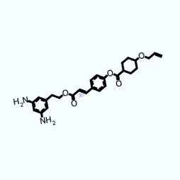 C=CCOC1CCC(C(=O)Oc2ccc(/C=C/C(=O)OCCc3cc(N)cc(N)c3)cc2)CC1